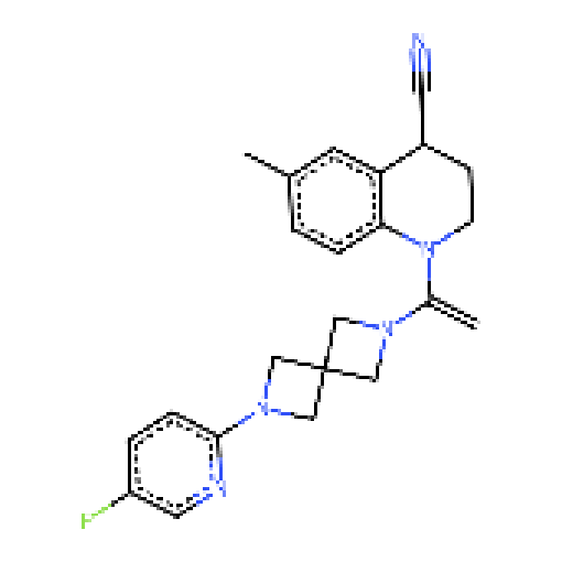 C=C(N1CC2(C1)CN(c1ccc(F)cn1)C2)N1CCC(C#N)c2cc(C)ccc21